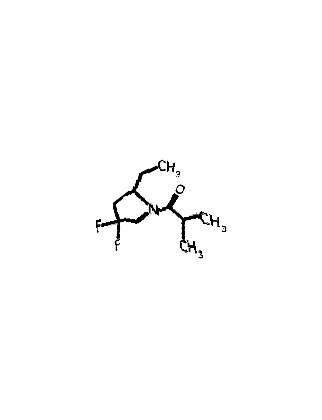 CCC1CC(F)(F)CN1C(=O)C(C)C